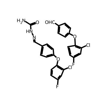 NC(=O)NN=Cc1ccc(Oc2ccc(F)cc2Cl)cc1.O=Cc1ccc(Oc2ccc(F)cc2Cl)cc1